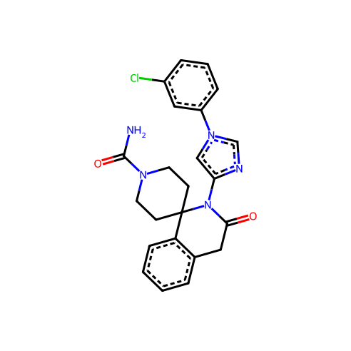 NC(=O)N1CCC2(CC1)c1ccccc1CC(=O)N2c1cn(-c2cccc(Cl)c2)cn1